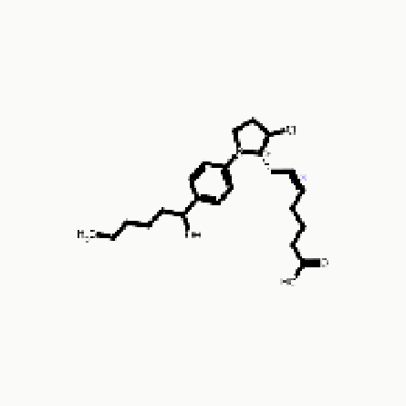 CCCCCC(O)c1ccc(N2CCC(Cl)[C@@H]2C/C=C\CCCC(=O)O)cc1